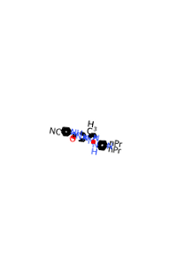 CCCN(CCC)c1ccc(Nc2ncc(C)c(N3CCN(C(=O)Nc4ccc(C#N)cc4)CC3)n2)cc1